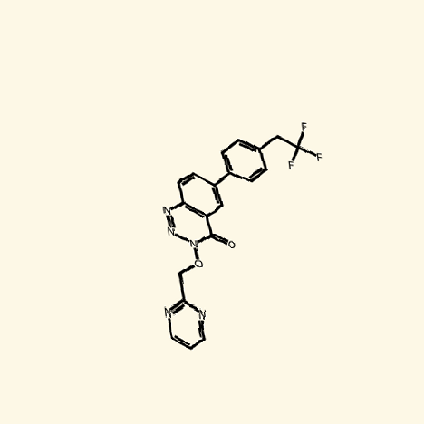 O=c1c2cc(-c3ccc(CC(F)(F)F)cc3)ccc2nnn1OCc1ncccn1